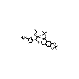 CCOC(=O)C(=NOCc1cc2c(cc1C(=O)OC(C)(C)C)OC(C)(C)O2)c1csc(N)n1